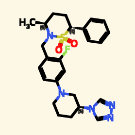 C[C@H]1CC[C@H](c2ccccc2)S(=O)(=O)N1Cc1ccc(N2CCC[C@H](n3cnnc3)C2)cc1F